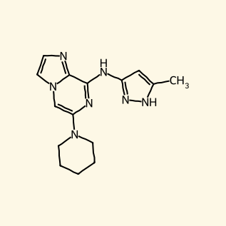 Cc1cc(Nc2nc(N3CCCCC3)cn3ccnc23)n[nH]1